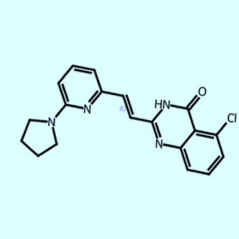 O=c1[nH]c(/C=C/c2cccc(N3CCCC3)n2)nc2cccc(Cl)c12